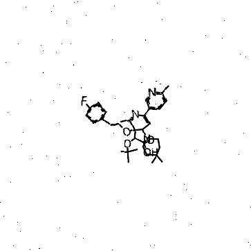 CC1=NC(c2ccc(C)nc2)=CC(N2CCC(C)(C)CC2)C1(OCCc1ccc(F)cc1)C(OC(C)(C)C)C(=O)O